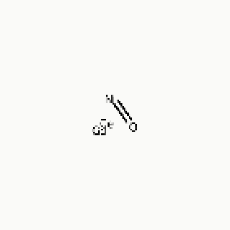 [Ce].[Gd].[O]=[Ni]